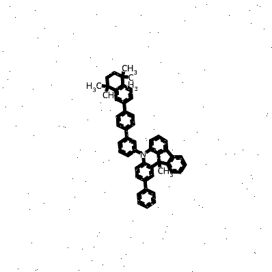 CC1(C)CCC(C)(C)c2cc(-c3ccc(-c4cccc(N5c6ccc(-c7ccccc7)cc6C6(C)c7ccccc7-c7cccc5c76)c4)cc3)ccc21